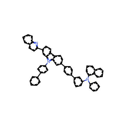 c1ccc(-c2ccc(-n3c4cc(-c5ccc(-c6cccc(N(c7ccccc7)c7cccc8ccccc78)c6)cc5)ccc4c4ccc(-c5ccc6ccccc6n5)cc43)cc2)cc1